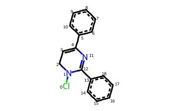 ClN1CC=C(c2ccccc2)N=C1c1ccccc1